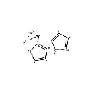 C1=CCC=C1.CC(=O)[O-].[Fe+2].c1cc[cH-]c1